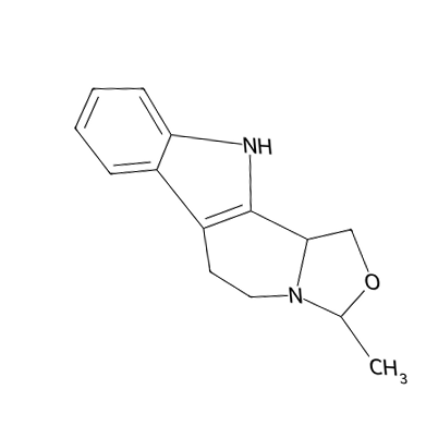 CC1OCC2c3[nH]c4ccccc4c3CCN12